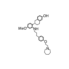 COc1ccc([C@@H]2CCc3cc(O)ccc3C2)c(NCCCc2ccc(OCCN3CCCCCC3)cc2)c1